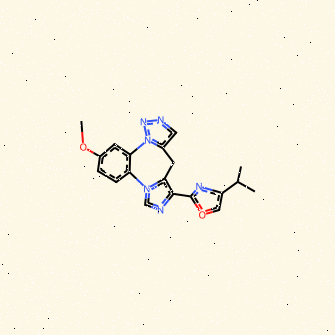 COc1ccc2c(c1)-n1nncc1Cc1c(-c3nc(C(C)C)co3)ncn1-2